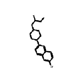 CCC(C)CC1CCC(c2ccc3cc(Br)ccc3c2)CC1